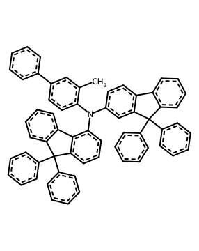 Cc1cc(-c2ccccc2)ccc1N(c1ccc2c(c1)C(c1ccccc1)(c1ccccc1)c1ccccc1-2)c1cccc2c1-c1ccccc1C2(c1ccccc1)c1ccccc1